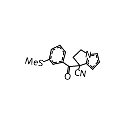 CSc1cccc(C(=O)C2(C#N)CCn3cccc32)c1